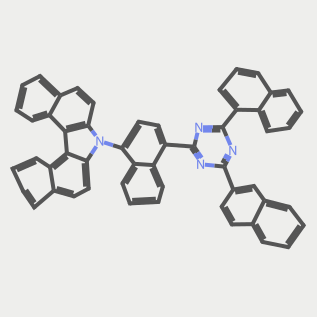 c1ccc2cc(-c3nc(-c4cccc5ccccc45)nc(-c4ccc(-n5c6ccc7ccccc7c6c6c7ccccc7ccc65)c5ccccc45)n3)ccc2c1